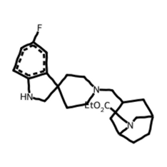 CCOC(=O)N1CC2CCC1CC(CN1CCC3(CC1)CNc1ccc(F)cc13)C2